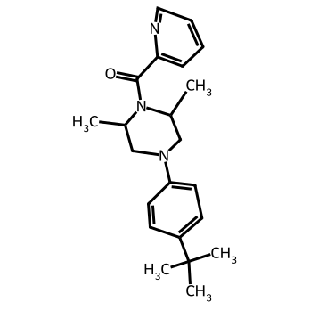 CC1CN(c2ccc(C(C)(C)C)cc2)CC(C)N1C(=O)c1ccccn1